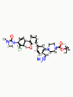 COc1c(-c2ccc(N3CCN(C)C3=O)c(Cl)c2)cccc1-c1ccc(CN)c(N2CCN(C(=O)OC(C)(C)C)CC2)c1